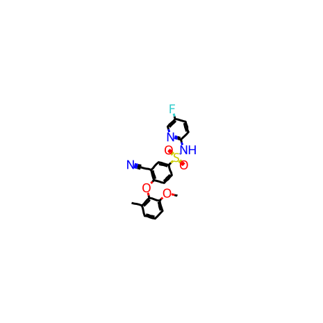 COc1cccc(C)c1Oc1ccc(S(=O)(=O)Nc2ccc(F)cn2)cc1C#N